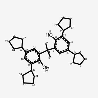 CC(C)(c1cc(C2CCCC2)cc(C2CCCC2)c1O)c1cc(C2CCCC2)cc(C2CCCC2)c1O